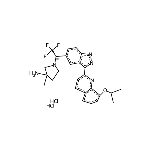 CC(C)Oc1cccc2ccc(-c3nnc4ccc([C@@H](N5CCC(C)(N)C5)C(F)(F)F)cn34)nc12.Cl.Cl